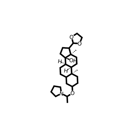 CC(OC1CC[C@@]2(C)C(CC[C@@H]3[C@H]2CC[C@]2(C)C(C4OCCO4)CC[C@@]32O)C1)N1CCCC1